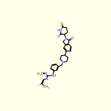 C=N/C(=N\C=C(/C)F)Nc1cccc(CN2CCC(c3ccc4c(c3)CN(C3CCC(=O)NC3=O)C4=O)CC2)c1